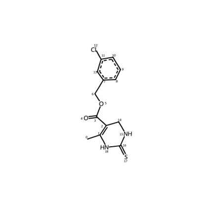 CC1=C(C(=O)OCc2cccc(Cl)c2)CNC(=S)N1